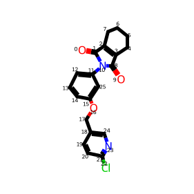 O=C1C2=C(CCCC2)C(=O)N1c1cccc(OCc2ccc(Cl)nc2)c1